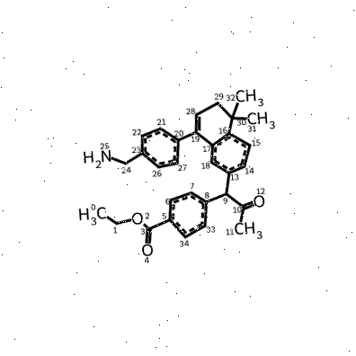 CCOC(=O)c1ccc(C(C(C)=O)c2ccc3c(c2)C(c2ccc(CN)cc2)=CCC3(C)C)cc1